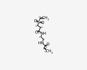 C=CC(=O)NCCNC(=O)CCS(=O)(=O)C=C